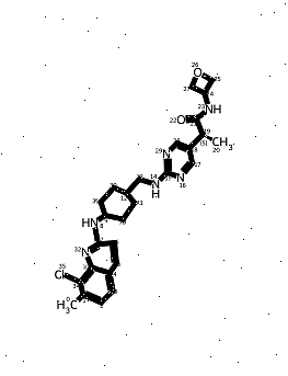 Cc1ccc2ccc(NC3CCC(CNc4ncc([C@H](C)C(=O)NC5COC5)cn4)CC3)nc2c1Cl